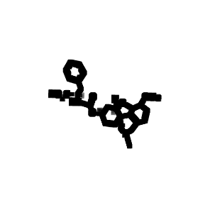 COC1C=CC2=C3C1O[C@H]1C[C@@H](OC(=O)N[C@@H](Cc4ccccc4)C(=O)O)C=C[C@@]31CCN(C)C2